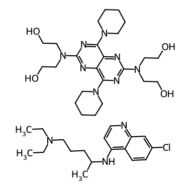 CCN(CC)CCCC(C)Nc1ccnc2cc(Cl)ccc12.OCCN(CCO)c1nc(N2CCCCC2)c2nc(N(CCO)CCO)nc(N3CCCCC3)c2n1